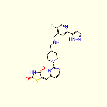 O=C1NC(=O)/C(=C\c2ccnc(N3CCC(CNCc4cc(-c5ccn[nH]5)ncc4F)CC3)n2)S1